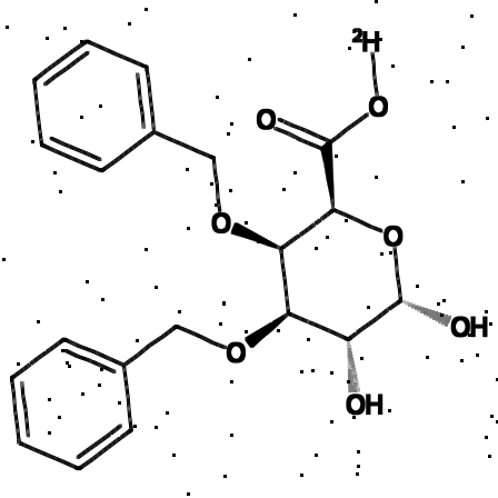 [2H]OC(=O)[C@H]1O[C@H](O)[C@H](O)[C@@H](OCc2ccccc2)[C@H]1OCc1ccccc1